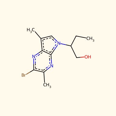 CCC(CO)n1cc(C)c2nc(Br)c(C)nc21